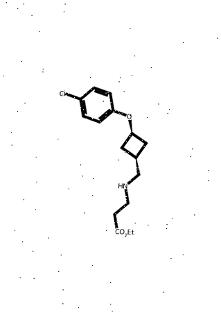 CCOC(=O)CCNC[C@H]1C[C@@H](Oc2ccc(Cl)cc2)C1